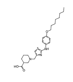 CCCCCCCCOc1ccc(Nc2nc(CN3CCCC(C(=O)O)C3)cs2)cc1